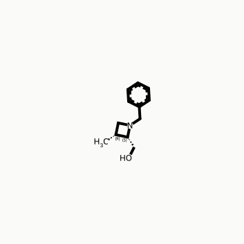 C[C@@H]1CN(Cc2ccccc2)[C@@H]1CO